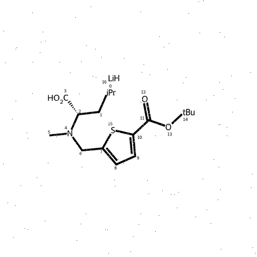 CC(C)C[C@@H](C(=O)O)N(C)Cc1ccc(C(=O)OC(C)(C)C)s1.[LiH]